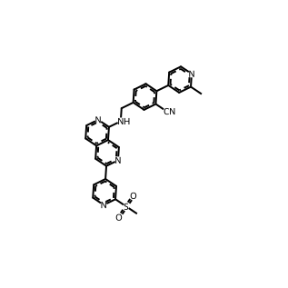 Cc1cc(-c2ccc(CNc3nccc4cc(-c5ccnc(S(C)(=O)=O)c5)ncc34)cc2C#N)ccn1